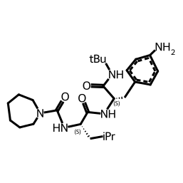 CC(C)C[C@H](NC(=O)N1CCCCCC1)C(=O)N[C@@H](Cc1ccc(N)cc1)C(=O)NC(C)(C)C